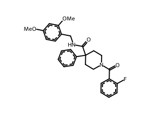 COc1ccc(CNC(=O)C2(c3ccccc3)CCN(C(=O)c3ccccc3F)CC2)c(OC)c1